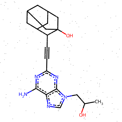 CC(O)Cn1cnc2c(N)nc(C#CC3C4CC5CC(C4)CC3(O)C5)nc21